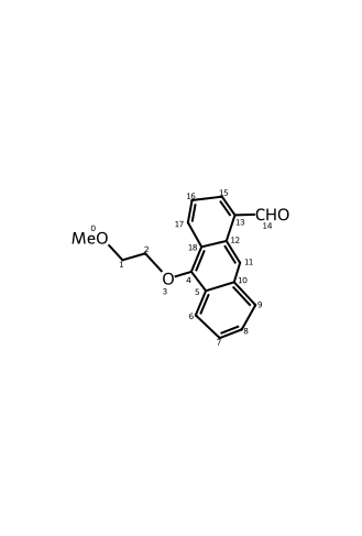 COCCOc1c2ccccc2cc2c(C=O)cccc12